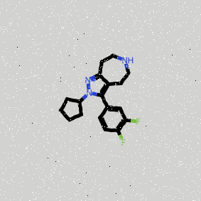 Fc1ccc(-c2c3c(nn2C2CCCC2)CCNCC3)cc1F